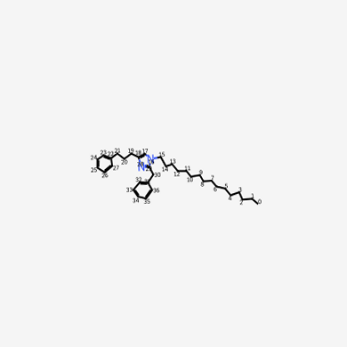 CCCCCCCCCCCCCCCCn1cc(CCCc2ccccc2)nc1Cc1ccccc1